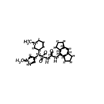 CN1CCCC(N(c2cnn(C)c2)S(=O)(=O)NC(=O)Nc2c3c(cc4c2CCC4)CCC3)C1